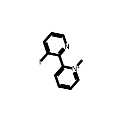 C[n+]1ccccc1-c1ncccc1I